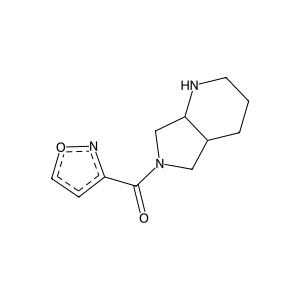 O=C(c1ccon1)N1CC2CCCNC2C1